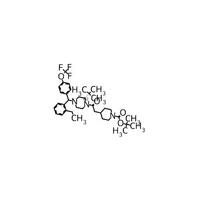 CCc1ccccc1C(c1ccc(OC(F)(F)F)cc1)N1CCN(C(=O)CC2CCN(C(=O)OC(C)(C)C)CC2)[C@@H](C(C)(C)C)C1